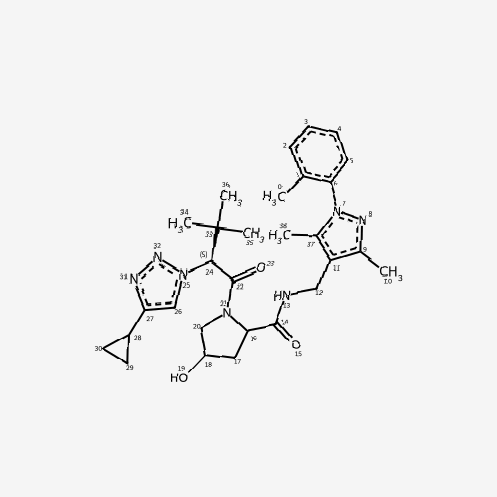 Cc1ccccc1-n1nc(C)c(CNC(=O)C2CC(O)CN2C(=O)[C@@H](n2cc(C3CC3)nn2)C(C)(C)C)c1C